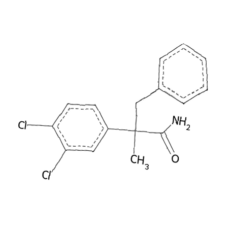 CC(Cc1ccccc1)(C(N)=O)c1ccc(Cl)c(Cl)c1